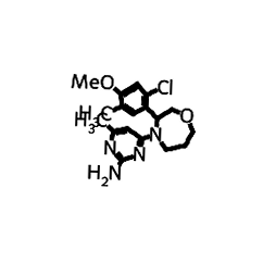 COc1cc(Cl)c(C2COCCCN2c2cc(C)nc(N)n2)cc1C